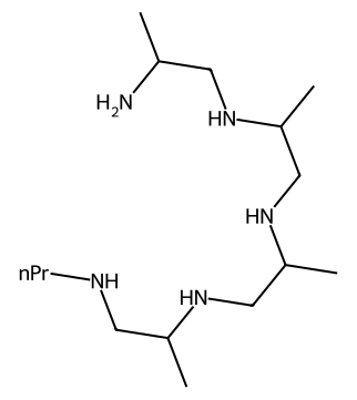 CCCNCC(C)NCC(C)NCC(C)NCC(C)N